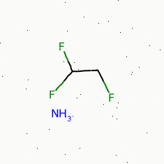 FCC(F)F.N